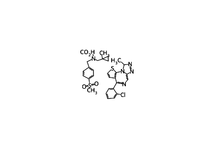 CC1(CN(Cc2ccc(S(C)(=O)=O)cc2)C(=O)O)CC1.CC1N=NC2=CN=C(c3ccccc3Cl)c3ccsc3N21